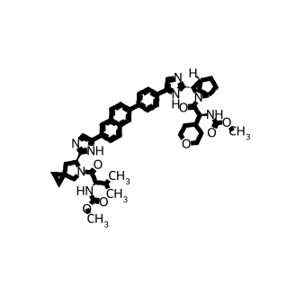 COC(=O)N[C@H](C(=O)N1CC2(CC2)C[C@H]1c1ncc(-c2ccc3cc(-c4ccc(-c5cnc([C@@H]6[C@H]7CCC(C7)N6C(=O)[C@@H](NC(=O)OC)C6CCOCC6)[nH]5)cc4)ccc3c2)[nH]1)C(C)C